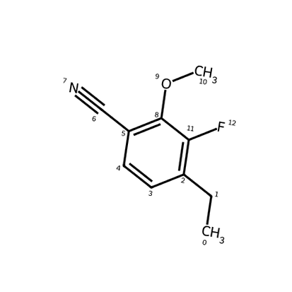 CCc1ccc(C#N)c(OC)c1F